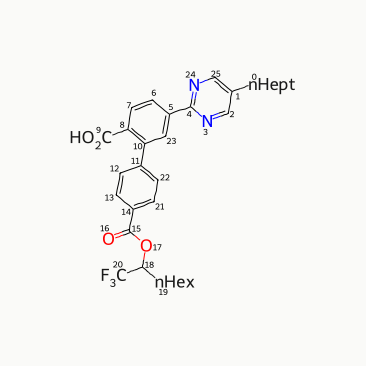 CCCCCCCc1cnc(-c2ccc(C(=O)O)c(-c3ccc(C(=O)OC(CCCCCC)C(F)(F)F)cc3)c2)nc1